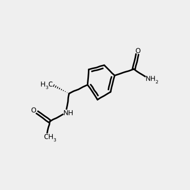 CC(=O)N[C@H](C)c1ccc(C(N)=O)cc1